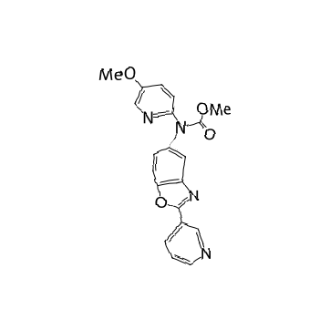 COC(=O)N(c1ccc2oc(-c3cccnc3)nc2c1)c1ccc(OC)cn1